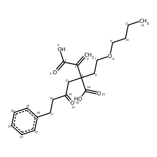 C=C(C(=O)O)C(CCOCCCC)(CC(=O)CCc1ccccc1)C(=O)O